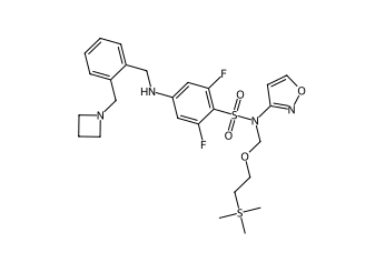 CS(C)(C)CCOCN(c1ccon1)S(=O)(=O)c1c(F)cc(NCc2ccccc2CN2CCC2)cc1F